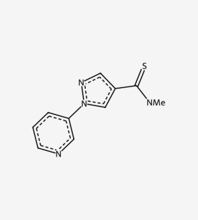 CNC(=S)c1cnn(-c2cccnc2)c1